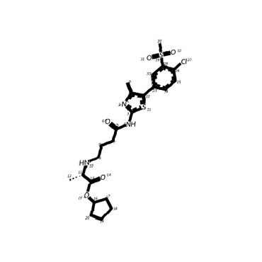 Cc1nc(NC(=O)CCCN[C@@H](C)C(=O)OC2CCCC2)sc1-c1ccc(Cl)c(S(C)(=O)=O)c1